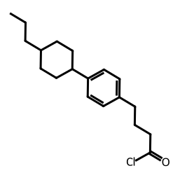 CCCC1CCC(c2ccc(CCCC(=O)Cl)cc2)CC1